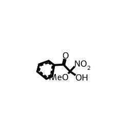 COC(O)(C(=O)c1ccccc1)[N+](=O)[O-]